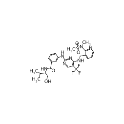 CC(C)C(CO)NC(=O)c1cccc(Nc2ncc(C(F)(F)F)c(NCc3cccnc3N(C)S(C)(=O)=O)n2)c1